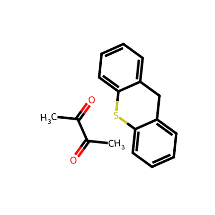 CC(=O)C(C)=O.c1ccc2c(c1)Cc1ccccc1S2